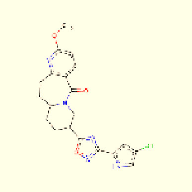 COc1ccc2c(n1)CCC1CCC(c3nc(-c4cc(Cl)c[nH]4)no3)CN1C2=O